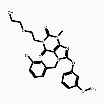 Cn1c(=O)n(CCOCCO)c(=O)c2c1nc(Oc1cccc(OC(F)(F)F)c1)n2Cc1cccc(Cl)c1